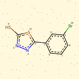 Sc1nnc(-c2cccc(Br)c2)s1